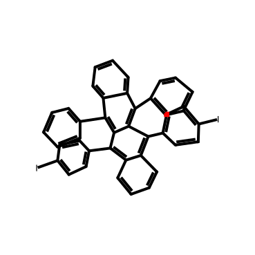 Ic1ccc(-c2c3ccccc3c(-c3ccc(I)cc3)c3c(-c4ccccc4)c4ccccc4c(-c4ccccc4)c23)cc1